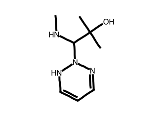 CNC(N1N=CC=CN1)C(C)(C)O